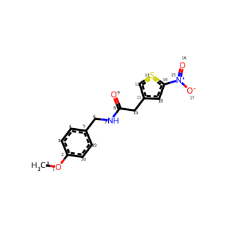 COc1ccc(CNC(=O)Cc2csc([N+](=O)[O-])c2)cc1